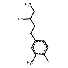 Cc1cc(CCC(O)CN)ccc1F